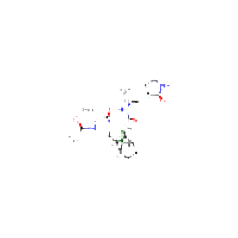 CC(C)(C)[C@H](NC(=O)C(F)(F)F)C(=O)N1C[C@H]2[C@@H]([C@H]1C(=O)N[C@H](C#N)C[C@@H]1CCNC1=O)[C@H]1CC[C@@H]2C1(F)F